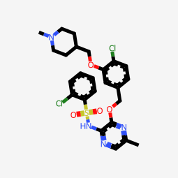 Cc1cnc(NS(=O)(=O)c2ccccc2Cl)c(OCc2ccc(Cl)c(OCC3CCN(C)CC3)c2)n1